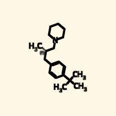 C[C@@H](Cc1ccc(C(C)(C)C)cc1)CN1CCCCC1